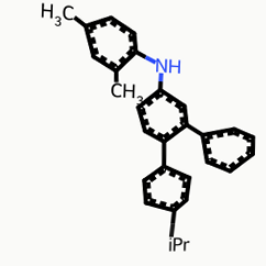 Cc1ccc(Nc2ccc(-c3ccc(C(C)C)cc3)c(-c3ccccc3)c2)c(C)c1